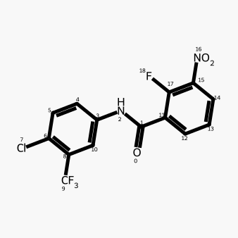 O=C(Nc1ccc(Cl)c(C(F)(F)F)c1)c1cccc([N+](=O)[O-])c1F